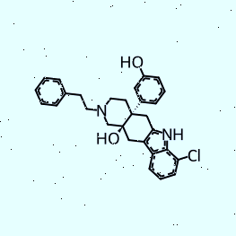 Oc1cccc([C@@]23CCN(CCc4ccccc4)C[C@@]2(O)Cc2c([nH]c4c(Cl)cccc24)C3)c1